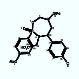 COc1ccc(P2(=O)OCC(OC)CC(c3ccc(Cl)cc3)N2CC(=O)O)cc1